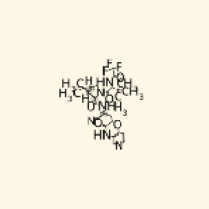 CC(C)(C)C(NC(=O)C(F)(F)F)C(=O)N1C[C@H]2[C@@H]([C@H]1C(=O)N[C@H](C#N)CC1Oc3ccncc3NC1=O)C2(C)C